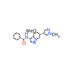 COc1cc(-c2cnn(C)c2)cn2ncc(NC(=O)c3ccccc3)c12